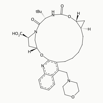 CC(C)(C)[C@@H]1NC(=O)O[C@@H]2C[C@H]2CCCCCc2c(nc3ccccc3c2CN2CCOCC2)O[C@@H]2C[C@@H](C(=O)O)N(C2)C1=O